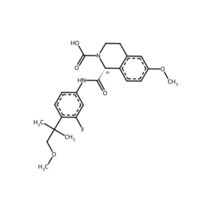 COCC(C)(C)c1ccc(NC(=O)[C@H]2c3ccc(OC)cc3CCN2C(=O)O)cc1F